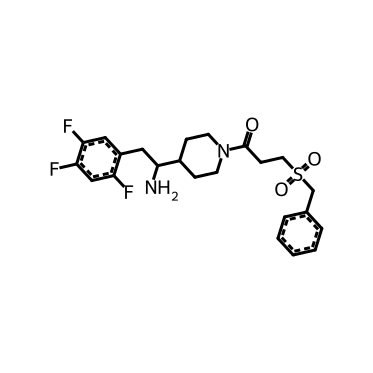 NC(Cc1cc(F)c(F)cc1F)C1CCN(C(=O)CCS(=O)(=O)Cc2ccccc2)CC1